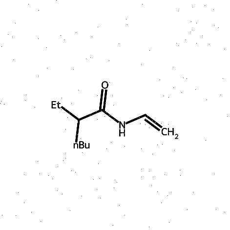 C=CNC(=O)C(CC)CCCC